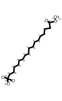 COC(=O)CCCCCCCCCCCCCCCCC(Cl)(Cl)Cl